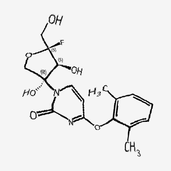 Cc1cccc(C)c1Oc1ccn([C@@]2(O)CO[C@](F)(CO)[C@H]2O)c(=O)n1